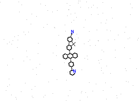 CC1(C)c2cc(C#N)ccc2-c2ccc(-c3c4ccccc4c(-c4ccc(-c5ccccn5)cc4)c4ccccc34)cc21